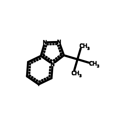 CC(C)(C)c1nnc2cc[c]cn12